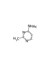 CC(=O)Nc1c[c]nc(C)n1